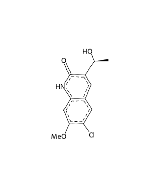 COc1cc2[nH]c(=O)c([C@H](C)O)cc2cc1Cl